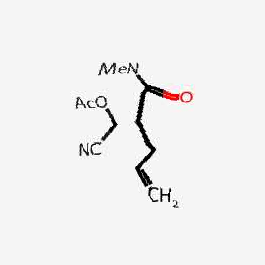 C=CCCC(=O)NC.CC(=O)OCC#N